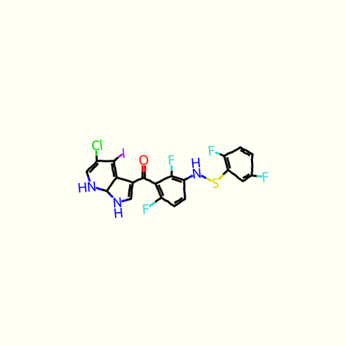 O=C(C1=CNC2NC=C(Cl)C(I)=C12)c1c(F)ccc(NSc2cc(F)ccc2F)c1F